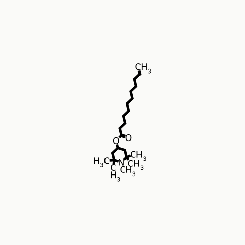 CCCCCCCCCCCC(=O)OC1CC(C)(C)N(C)C(C)(C)C1